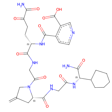 C=C1C[C@@H](C(=O)NCC(=O)N[C@H](C(N)=O)C2CCCCC2)N(C(=O)CNC(=O)[C@H](CCC(=O)C(N)=O)NC(=O)c2ccncc2C(=O)O)C1